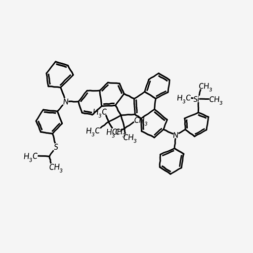 CC(C)Sc1cccc(N(c2ccccc2)c2ccc3c4c(ccc3c2)-c2c(c3ccc(N(c5ccccc5)c5cccc([Si](C)(C)C)c5)cc3c3ccccc23)C4(C(C)(C)C)C(C)(C)C)c1